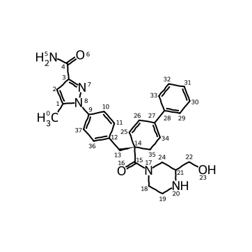 Cc1cc(C(N)=O)nn1-c1ccc(C[C@@]2(C(=O)N3CCNC(CO)C3)C=CC(c3ccccc3)=CC2)cc1